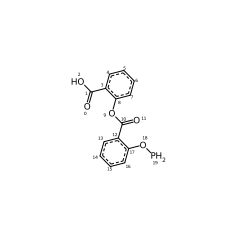 O=C(O)c1ccccc1OC(=O)c1ccccc1OP